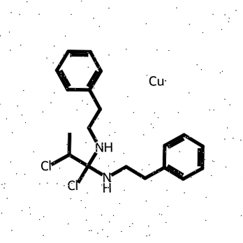 CC(Cl)C(Cl)(NCCc1ccccc1)NCCc1ccccc1.[Cu]